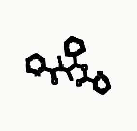 CC(C(OC(=O)c1ccccn1)c1ccccc1)N(C)C(=O)c1ccccn1